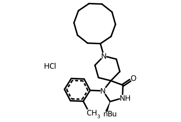 CCCC[C@@H]1NC(=O)C2(CCN(C3CCCCCCCCC3)CC2)N1c1ccccc1C.Cl